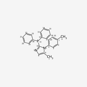 Cc1ccc(-n2c(C)cnc2P(c2ccccc2)c2ccccc2)cc1